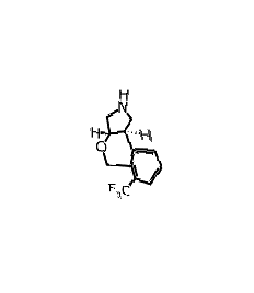 FC(F)(F)c1cccc2c1CO[C@@H]1CNC[C@@H]21